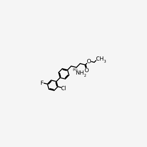 CCOC(=O)C[C@H](N)Cc1ccc(-c2cc(F)ccc2Cl)cc1